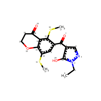 CCn1ncc(C(=O)c2cc(SC)c3c(c2SC)C(=O)CCO3)c1O